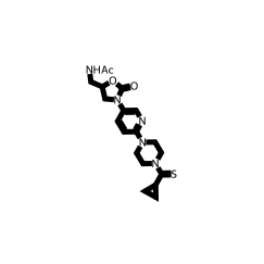 CC(=O)NCC1CN(c2ccc(N3CCN(C(=S)C4CC4)CC3)nc2)C(=O)O1